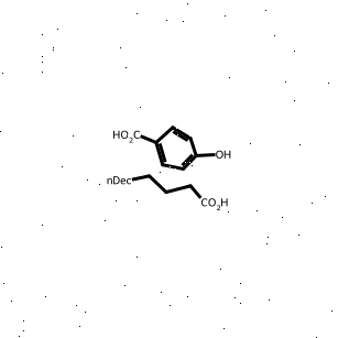 CCCCCCCCCCCCCC(=O)O.O=C(O)c1ccc(O)cc1